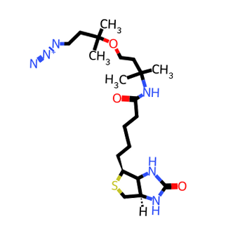 CC(C)(CCOC(C)(C)CCN=[N+]=[N-])NC(=O)CCCC[C@@H]1SC[C@@H]2NC(=O)NC21